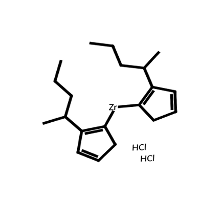 CCCC(C)C1=[C]([Zr][C]2=C(C(C)CCC)C=CC2)CC=C1.Cl.Cl